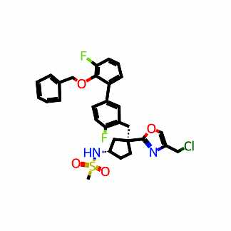 CS(=O)(=O)N[C@H]1CC[C@](Cc2cc(-c3cccc(F)c3OCc3ccccc3)ccc2F)(c2nc(CCl)co2)C1